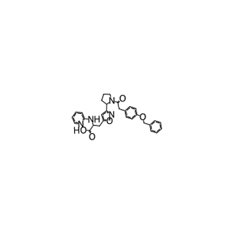 O=C(O)C(Cc1cc(C2CCCN2C(=O)Cc2ccc(OCc3ccccc3)cc2)no1)Nc1ccccn1